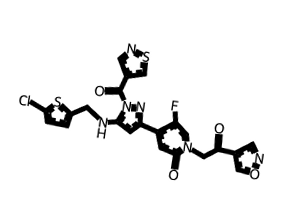 O=C(Cn1cc(F)c(-c2cc(NCc3ccc(Cl)s3)n(C(=O)c3cnsc3)n2)cc1=O)c1cnoc1